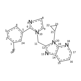 Fc1cccc(-c2nccn2Cc2nc3cccnc3n2C2CC2)c1